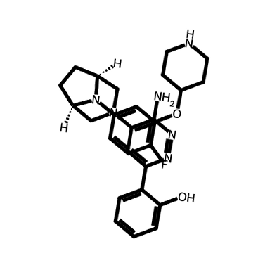 Nc1nnc(-c2ccccc2O)cc1N1C[C@H]2CC[C@@H](C1)N2c1ccc(F)c(OC2CCNCC2)c1